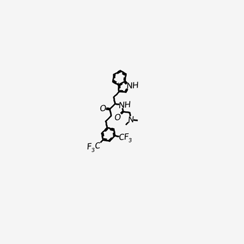 CN(C)CC(=O)NC(Cc1c[nH]c2ccccc12)C(=O)CCc1cc(C(F)(F)F)cc(C(F)(F)F)c1